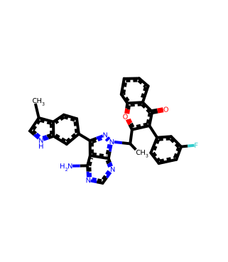 Cc1c[nH]c2cc(-c3nn(C(C)c4oc5ccccc5c(=O)c4-c4cccc(F)c4)c4ncnc(N)c34)ccc12